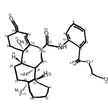 CCOC(=O)c1ccccc1NC(=O)N1C[C@H]2[C@@H]3CCC[C@@]3(C)CC[C@@H]2[C@@]2(C)CCC(=O)C=C12